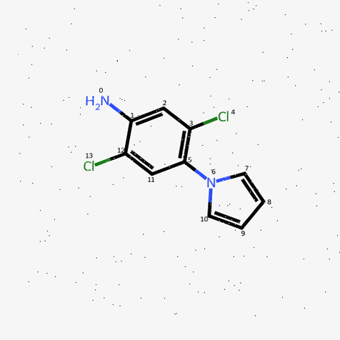 Nc1cc(Cl)c(-n2cccc2)cc1Cl